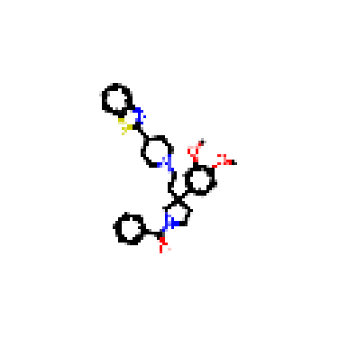 COc1ccc(C2(CCN3CCC(c4nc5ccccc5s4)CC3)CCN(C(=O)c3ccccc3)C2)cc1OC